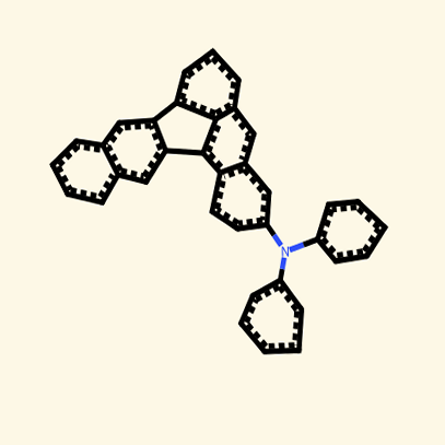 c1ccc(N(c2ccccc2)c2ccc3c4c5c(cccc5cc3c2)-c2cc3ccccc3cc2-4)cc1